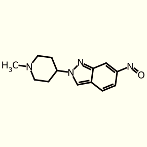 CN1CCC(n2cc3ccc(N=O)cc3n2)CC1